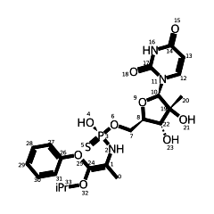 CC(N[P@@](O)(=S)OC[C@H]1O[C@@H](n2ccc(=O)[nH]c2=O)[C@](C)(O)[C@@H]1O)=C(Oc1ccccc1)OC(C)C